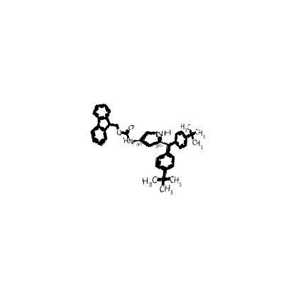 CC(C)(C)c1ccc(C(c2ccc(C(C)(C)C)cc2)[C@H]2C[C@@H](NC(=O)OCC3c4ccccc4-c4ccccc43)CN2)cc1